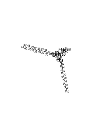 CCCCCCCCCCCCCCCCCCOC(=O)CC(CC(=O)OCCCCCCCCCCCCCCCCCC)NC(=O)CN1CC(C)C1